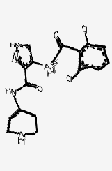 O=C(NC1CCNCC1)c1n[nH]cc1[AsH]C(=O)c1c(Cl)cccc1Cl